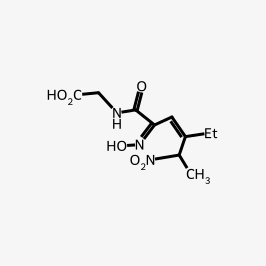 CCC(=CC(=NO)C(=O)NCC(=O)O)C(C)[N+](=O)[O-]